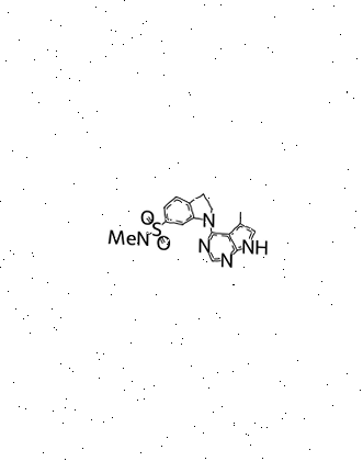 CNS(=O)(=O)c1ccc2c(c1)N(c1ncnc3[nH]cc(C)c13)CC2